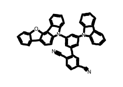 N#Cc1ccc(C#N)c(-c2cc(-n3c4ccccc4c4ccccc43)cc(-n3c4ccccc4c4c5oc6ccccc6c5ccc43)c2)c1